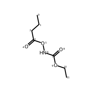 CCCC(=O)ONC(=O)OCC